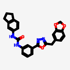 O=C(Nc1cccc(-c2nnc(Cc3ccc4c(c3)OCO4)o2)c1)Nc1ccc2c(c1)CCC2